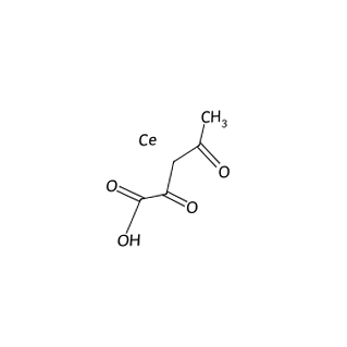 CC(=O)CC(=O)C(=O)O.[Ce]